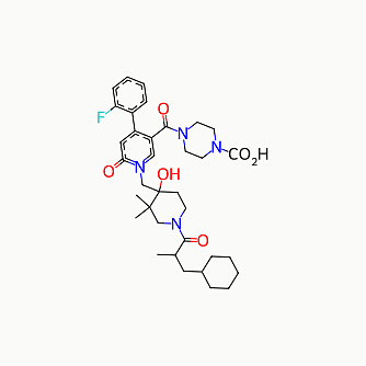 CC(CC1CCCCC1)C(=O)N1CCC(O)(Cn2cc(C(=O)N3CCN(C(=O)O)CC3)c(-c3ccccc3F)cc2=O)C(C)(C)C1